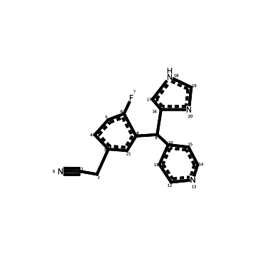 N#CCc1ccc(F)c(C(c2ccncc2)c2c[nH]cn2)c1